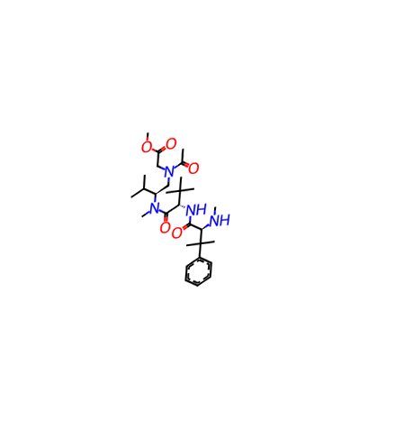 CN[C@H](C(=O)N[C@H](C(=O)N(C)[C@H](CN(CC(=O)OC)C(C)=O)C(C)C)C(C)(C)C)C(C)(C)c1ccccc1